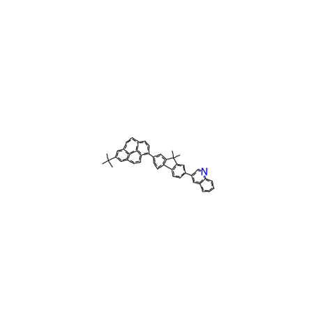 CC(C)(C)c1cc2ccc3ccc(-c4ccc5c(c4)C(C)(C)c4cc(-c6cnc7ccccc7c6)ccc4-5)c4ccc(c1)c2c34